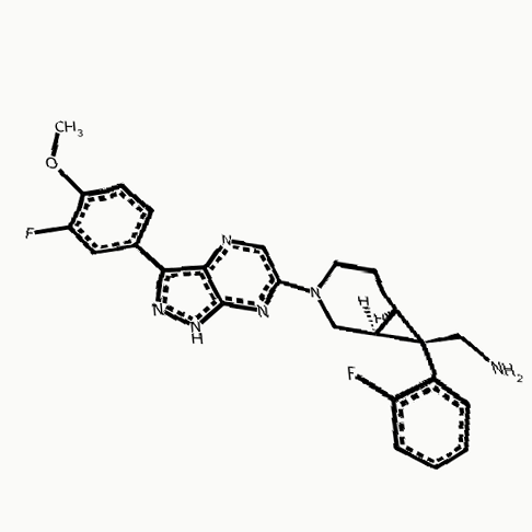 COc1ccc(-c2n[nH]c3nc(N4CC[C@@H]5[C@H](C4)[C@@]5(CN)c4ccccc4F)cnc23)cc1F